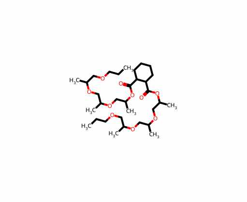 CCCOCC(C)OCC(C)OCC(C)OC(=O)C1CCCCC1C(=O)OC(C)COC(C)COC(C)COCCC